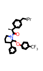 CC(C)Cc1ccc([C@H](C)C(=O)N2CCCC(c3ccccc3)C2COc2ccc(C(F)(F)F)cc2)cc1